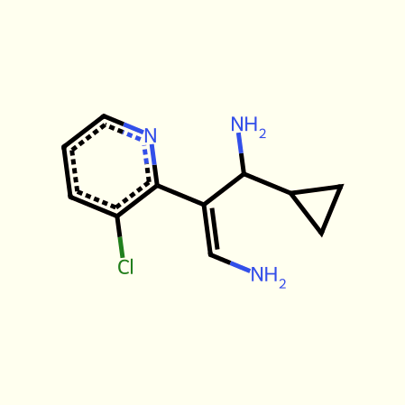 N/C=C(/c1ncccc1Cl)C(N)C1CC1